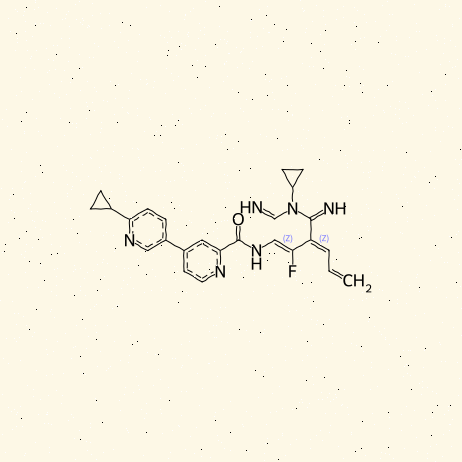 C=C/C=C(C(=N)N(C=N)C1CC1)\C(F)=C\NC(=O)c1cc(-c2ccc(C3CC3)nc2)ccn1